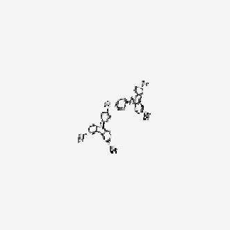 O=C(c1ccc(-n2c3ccc(Br)cc3c3cc(Br)ccc32)cc1)c1ccc(-n2c3ccc(Br)cc3c3cc(Br)ccc32)cc1